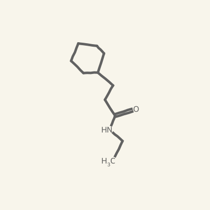 CCNC(=O)CCC1CCCCC1